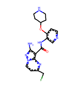 Nc1nn2ccc(CF)nc2c1C(=O)Nc1cnccc1OC1CCNCC1